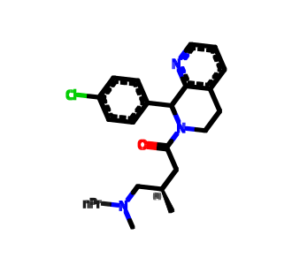 CCCN(C)C[C@H](C)CC(=O)N1CCc2cccnc2C1c1ccc(Cl)cc1